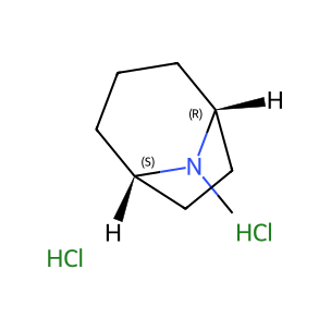 CN1[C@@H]2CCC[C@H]1CC2.Cl.Cl